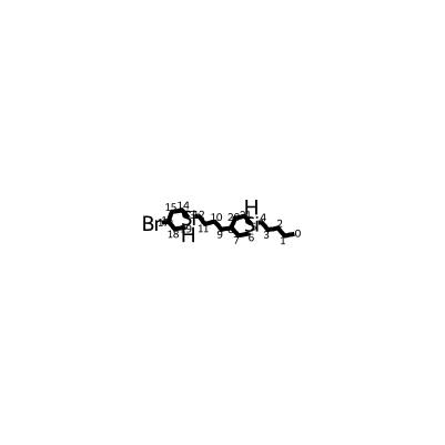 CCCCC[SiH]1CCC(CCCC[SiH]2CCC(Br)CC2)CC1